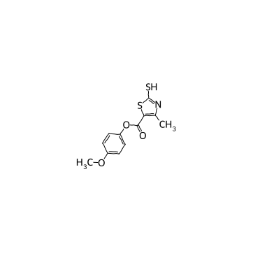 COc1ccc(OC(=O)c2sc(S)nc2C)cc1